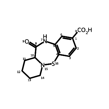 O=C(O)c1ccc2c(c1)NC(=O)C1CCCCN1S2